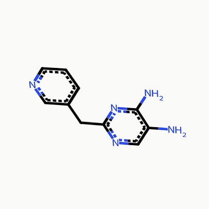 Nc1cnc(Cc2cccnc2)nc1N